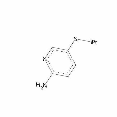 CC(C)Sc1ccc(N)nc1